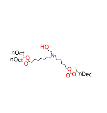 CCCCCCCCCCC(C)OC(=O)OCCCCCCN(CCO)CCCCCCCC(=O)OC(CCCCCCCC)CCCCCCCC